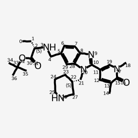 CC[C@H](NCc1ccc2nc(-c3cc(C)c(=O)n(C)c3)n(C[C@H]3CCCNC3)c2c1)C(=O)OC(C)(C)C